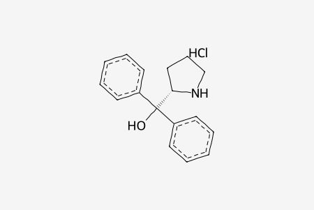 Cl.OC(c1ccccc1)(c1ccccc1)[C@@H]1CCCN1